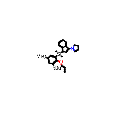 C=CCOc1c(C(C)(C)C)cc(OC)cc1[Si](C)(C)C1C=C(N2CCCC2)c2ccccc21